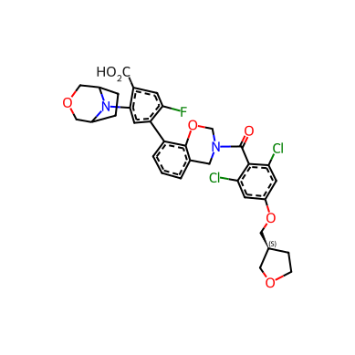 O=C(O)c1cc(F)c(-c2cccc3c2OCN(C(=O)c2c(Cl)cc(OC[C@H]4CCOC4)cc2Cl)C3)cc1N1C2CCC1COC2